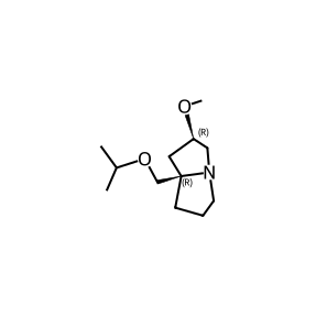 CO[C@H]1CN2CCC[C@]2(COC(C)C)C1